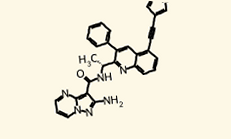 C[C@@H](NC(=O)c1c(N)nn2cccnc12)c1nc2cccc(C#Cc3cnn(C)c3)c2cc1-c1ccccc1